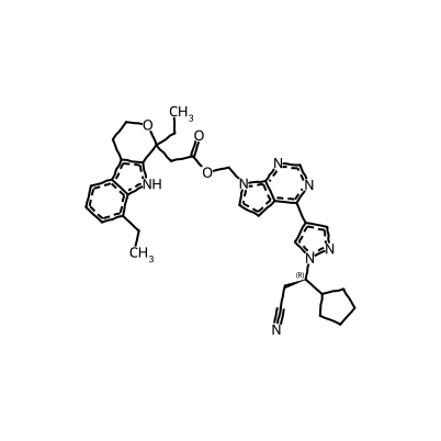 CCc1cccc2c3c([nH]c12)C(CC)(CC(=O)OCn1ccc2c(-c4cnn([C@H](CC#N)C5CCCC5)c4)ncnc21)OCC3